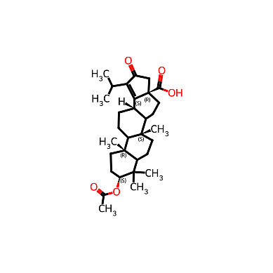 CC(=O)O[C@H]1CC[C@@]2(C)C(CC[C@@]3(C)C4CC[C@@]5(C(=O)O)CC(=O)C(C(C)C)=C5[C@H]4CCC32)C1(C)C